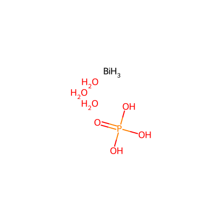 O.O.O.O=P(O)(O)O.[BiH3]